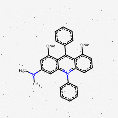 COc1cccc2c1c(-c1ccccc1)c1c(OC)cc(N(C)C)cc1[n+]2-c1ccccc1